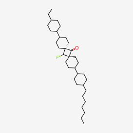 CCCCCCCC1CCC(C2CC[C@]3(CC2)C(=O)[C@@]2(CCC(C4CCC(CC)CC4)CC2)[C@@H]3F)CC1